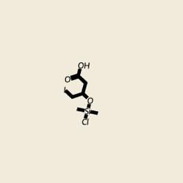 C[Si](C)(Cl)OC(CI)CC(=O)O